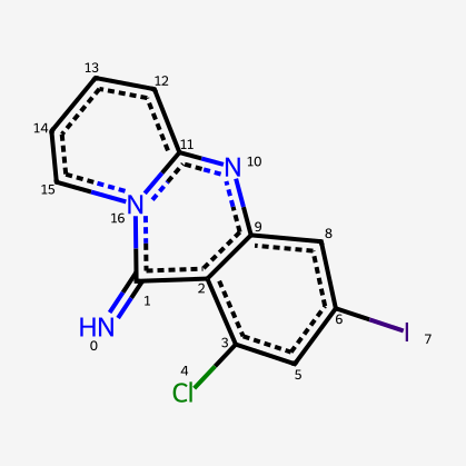 N=c1c2c(Cl)cc(I)cc2nc2ccccn12